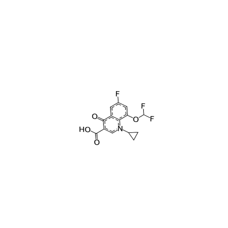 O=C(O)c1cn(C2CC2)c2c(OC(F)F)cc(F)cc2c1=O